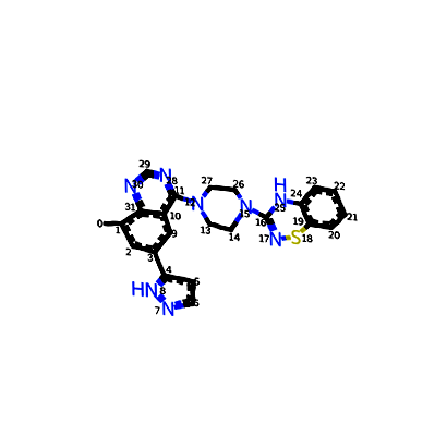 Cc1cc(-c2ccn[nH]2)cc2c(N3CCN(C4=NSc5ccccc5N4)CC3)ncnc12